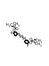 CCN(CC)C(=O)Oc1cc(SSSSSc2ccc(F)c(OC(=O)N(CC)CC)c2)ccc1F